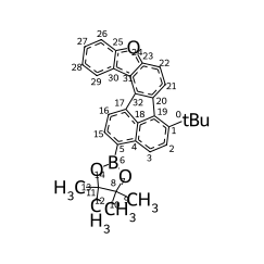 CC(C)(C)c1ccc2c(B3OC(C)(C)C(C)(C)O3)ccc3c2c1-c1ccc2oc4ccccc4c2c1-3